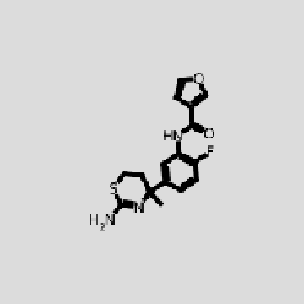 CC1(c2ccc(F)c(NC(=O)c3ccoc3)c2)CCSC(N)=N1